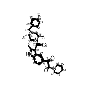 Cc1[nH]c2ccc(C(=O)C(=O)N3CCCCC3)cc2c1C(=O)N1C[C@H](C)N(Cc2ccc(F)cc2)C[C@H]1C